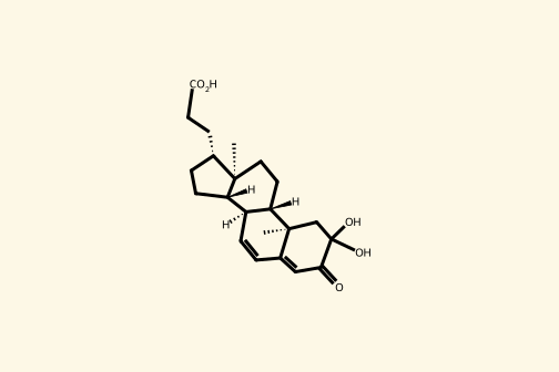 C[C@]12CC[C@H]3[C@@H](C=CC4=CC(=O)C(O)(O)C[C@@]43C)[C@@H]1CC[C@@H]2CCC(=O)O